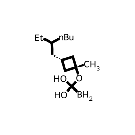 BC(O)(O)O[C@]1(C)C[C@H](CC(CC)CCCC)C1